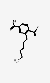 CCCCCCc1cc(C(=O)O)ccc1C(=O)O